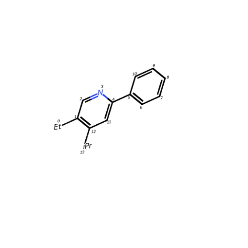 CCc1cnc(-c2ccccc2)cc1C(C)C